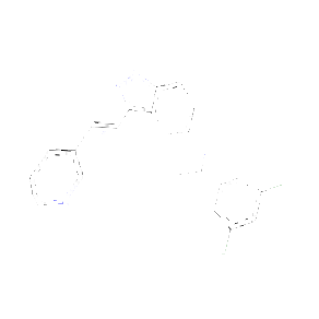 CC(Nc1ccc2[nH]nc(/C=C/c3cccnc3)c2c1)c1cc(F)cc(F)c1